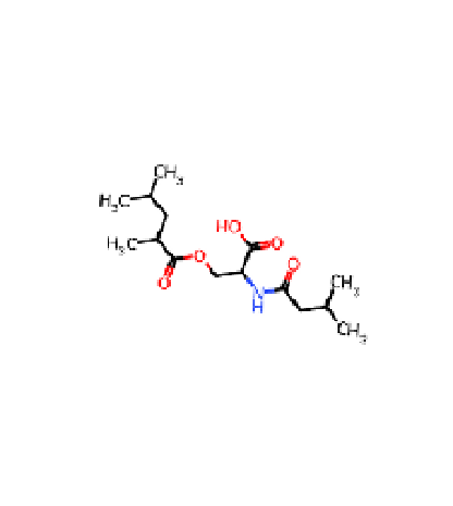 CC(C)CC(=O)NC(COC(=O)C(C)CC(C)C)C(=O)O